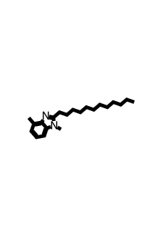 CCCCCCCCCCCCc1nc2c(C)cccc2n1C